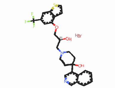 Br.O[C@H](COc1cc(C(F)(F)F)cc2sccc12)CN1CCC(O)(c2cncc3ccccc23)CC1